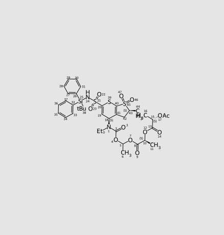 CCN(C(=O)OC(C)OC(=O)[C@H](C)OC(=O)[C@H](C)OC(C)=O)[C@H]1C=C(S(=O)(=O)N[Si](c2ccccc2)(c2ccccc2)C(C)(C)C)SC2=C1C[C@H](C)S2(=O)=O